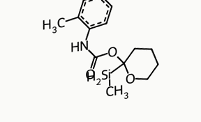 C[SiH2]C1(OC(=O)Nc2ccccc2C)CCCCO1